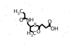 CCC(=O)NCC(CC)SC(=O)CCC(=O)O